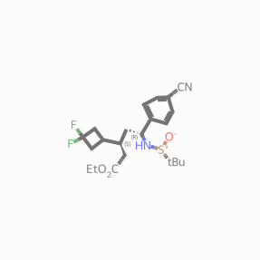 CCOC(=O)C[C@H](C[C@@H](N[S+]([O-])C(C)(C)C)c1ccc(C#N)cc1)C1CC(F)(F)C1